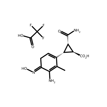 CC1=C(N)C(=NO)CC=C1[C@@H]1[C@H](C(N)=O)[C@H]1C(=O)O.O=C(O)C(F)(F)F